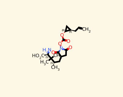 C=CC[C@@H]1C[C@H]1OC(=O)ON1C(=O)CC(C[C@H](C)C(C)(C)[C@H](N)C(=O)O)C1=O